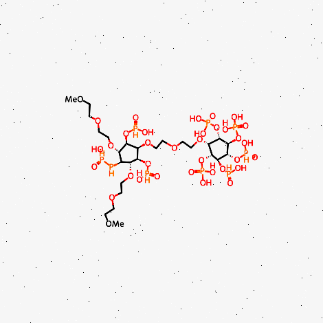 COCCOCCO[C@@H]1[C@@H](O[PH](=O)O)[C@@H](OCCOCCO[C@H]2[C@@H](OP(=O)(O)O)[C@H](O[PH](=O)O)[C@@H](O[PH](=O)O)[C@H](OP(=O)(O)O)[C@H]2OP(=O)(O)O)[C@@H](O[PH](=O)O)[C@H](OCCOCCOC)[C@H]1P[PH](=O)O